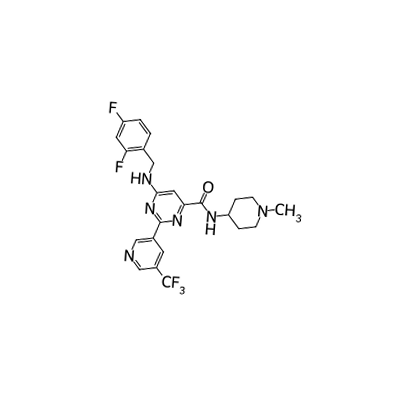 CN1CCC(NC(=O)c2cc(NCc3ccc(F)cc3F)nc(-c3cncc(C(F)(F)F)c3)n2)CC1